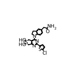 NC(=O)Cc1ccc2c(c1)CCN2c1nc(-c2ccc(Cl)s2)nc2c1CS(O)(O)C2